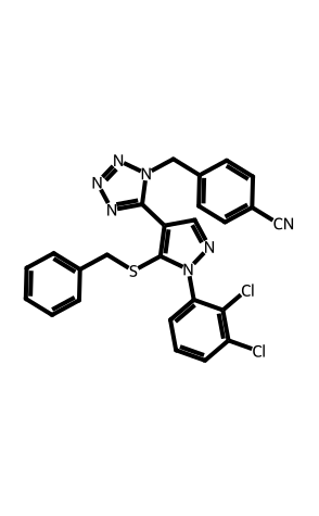 N#Cc1ccc(Cn2nnnc2-c2cnn(-c3cccc(Cl)c3Cl)c2SCc2ccccc2)cc1